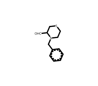 O=CC1CSCCN1Cc1ccccc1